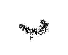 Cc1ccc(-c2nc(Nc3ccc(N4CCOCC4)nc3)no2)cc1NC(=O)c1cnc2ccccn12